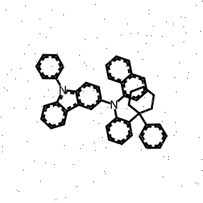 c1ccc(-n2c3ccccc3c3cc(N(c4ccccc4C4(c5ccccc5)CCCCC4)c4cccc5ccccc45)ccc32)cc1